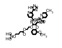 C=C(/N=C(OCCOC(=O)CCCON(O)O)\C(Oc1ccccc1OC)=C(/N)NS(=O)(=O)c1ccc(C)cn1)c1ccnc(-c2nnn[nH]2)c1